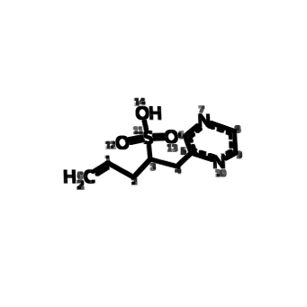 C=CCC(Cc1cnccn1)S(=O)(=O)O